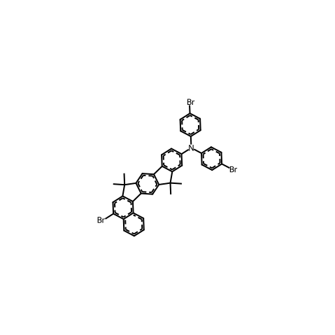 CC1(C)c2cc(N(c3ccc(Br)cc3)c3ccc(Br)cc3)ccc2-c2cc3c(cc21)-c1c(cc(Br)c2ccccc12)C3(C)C